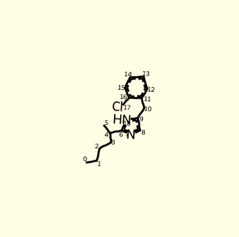 CCCCC(C)c1ncc(Cc2ccccc2Cl)[nH]1